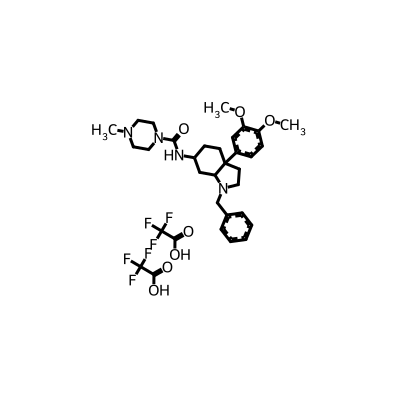 COc1ccc(C23CCC(NC(=O)N4CCN(C)CC4)CC2N(Cc2ccccc2)CC3)cc1OC.O=C(O)C(F)(F)F.O=C(O)C(F)(F)F